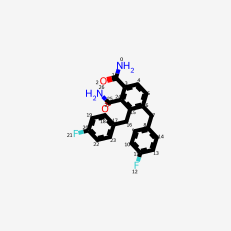 NC(=O)c1ccc(Cc2ccc(F)cc2)c(Cc2ccc(F)cc2)c1C(N)=O